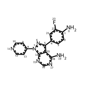 Nc1ccc(-c2nn(-c3ccncc3)c3ncnc(N)c23)cc1F